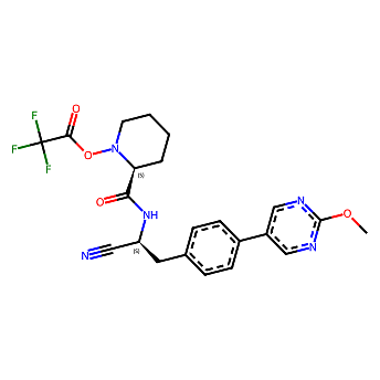 COc1ncc(-c2ccc(C[C@@H](C#N)NC(=O)[C@@H]3CCCCN3OC(=O)C(F)(F)F)cc2)cn1